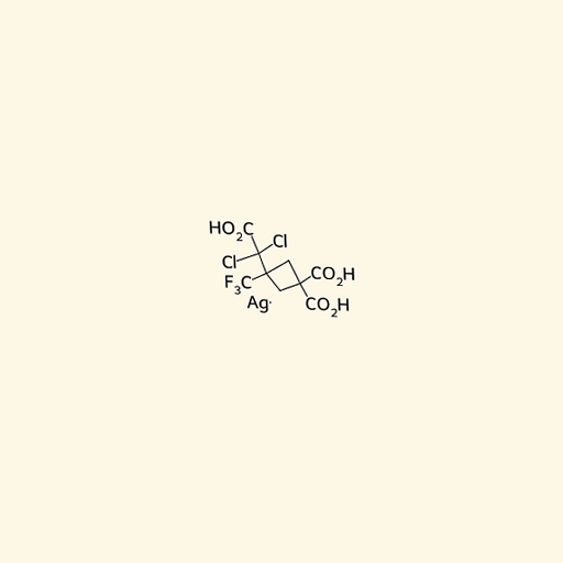 O=C(O)C1(C(=O)O)CC(C(F)(F)F)(C(Cl)(Cl)C(=O)O)C1.[Ag]